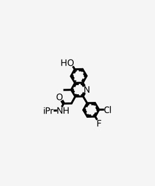 Cc1c(CC(=O)NC(C)C)c(-c2ccc(F)c(Cl)c2)nc2ccc(O)cc12